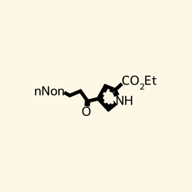 CCCCCCCCCCCC(=O)c1c[nH]c(C(=O)OCC)c1